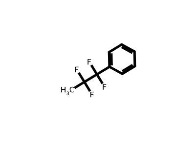 CC(F)(F)C(F)(F)c1ccccc1